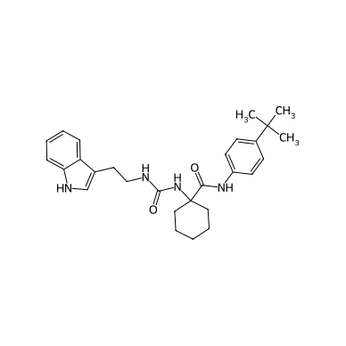 CC(C)(C)c1ccc(NC(=O)C2(NC(=O)NCCc3c[nH]c4ccccc34)CCCCC2)cc1